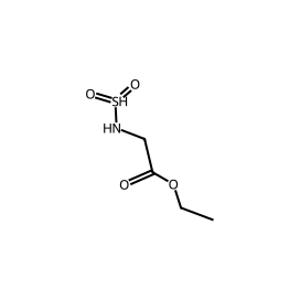 CCOC(=O)CN[SH](=O)=O